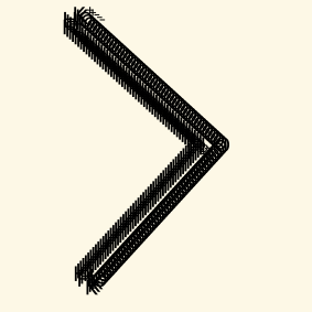 O.O.O.O.O.O.O.O.O.O.O.O.O.O.O.O.O.O.O.O.O.O.O.O.O.O.O.O.O.O.O.O.O.O.O.O.O.O.O.O.O.O.O.O.O.O.O.O.O.O.O.O.O.O.O.O.O.O.O.O.O.O.O.O.O.O.O.O.O.O.O.O.O.O.O.O.O.O.O.O.O.O.O.O.O.O.O.O.O.O.O.O.O.O.O.[K+].[K+].[K+].[K+].[K+].[OH-].[OH-].[OH-].[OH-].[OH-]